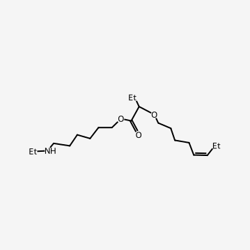 CC/C=C\CCCCOC(CC)C(=O)OCCCCCCNCC